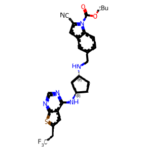 CC(C)(C)OC(=O)n1c(C#N)cc2cc(CN[C@@H]3CC[C@@H](Nc4ncnc5sc(CC(F)(F)F)cc45)C3)ccc21